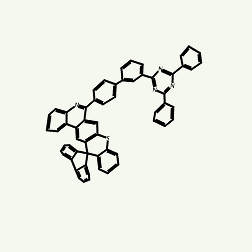 c1ccc(-c2nc(-c3ccccc3)nc(-c3cccc(-c4ccc(-c5nc6ccccc6c6cc7c(cc56)Sc5ccccc5C75c6ccccc6-c6ccccc65)cc4)c3)n2)cc1